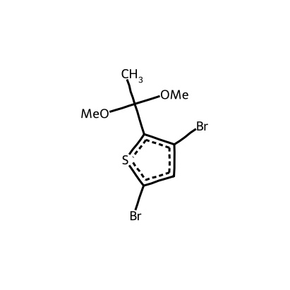 COC(C)(OC)c1sc(Br)cc1Br